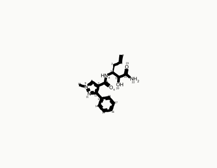 C=CC[C@H](NC(=O)c1cn(C)nc1-c1ccccc1)C(O)C(N)=O